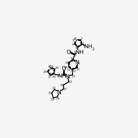 Nc1cscc1NC(=O)c1ccc(CN(CCCN2CCCC2)C(=O)Nc2ccsc2)cn1